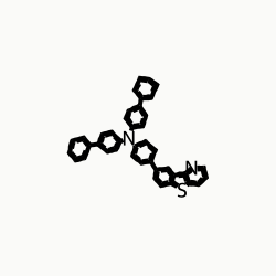 c1ccc(-c2ccc(N(c3ccc(-c4ccccc4)cc3)c3ccc(-c4ccc5sc6cccnc6c5c4)cc3)cc2)cc1